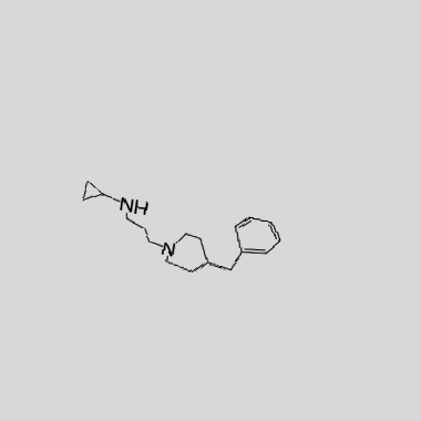 c1ccc(CC2CCN(CCCNC3CC3)CC2)cc1